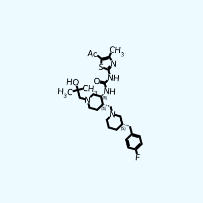 CC(=O)c1sc(NC(=O)N[C@H]2CN(CC(C)(C)O)CC[C@H]2CN2CCC[C@@H](Cc3ccc(F)cc3)C2)nc1C